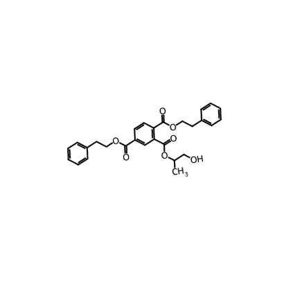 CC(CO)OC(=O)c1cc(C(=O)OCCc2ccccc2)ccc1C(=O)OCCc1ccccc1